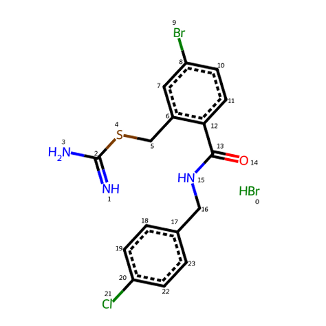 Br.N=C(N)SCc1cc(Br)ccc1C(=O)NCc1ccc(Cl)cc1